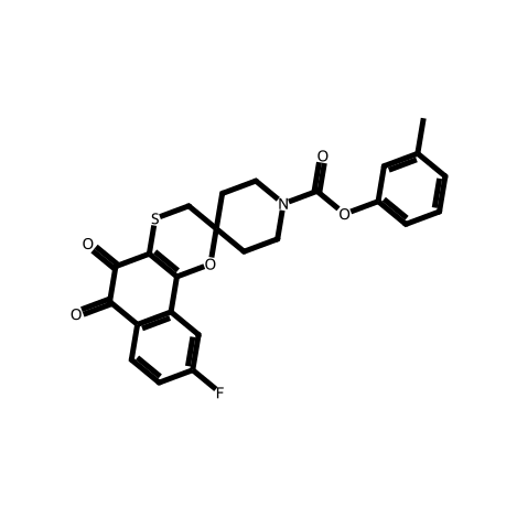 Cc1cccc(OC(=O)N2CCC3(CC2)CSC2=C(O3)c3cc(F)ccc3C(=O)C2=O)c1